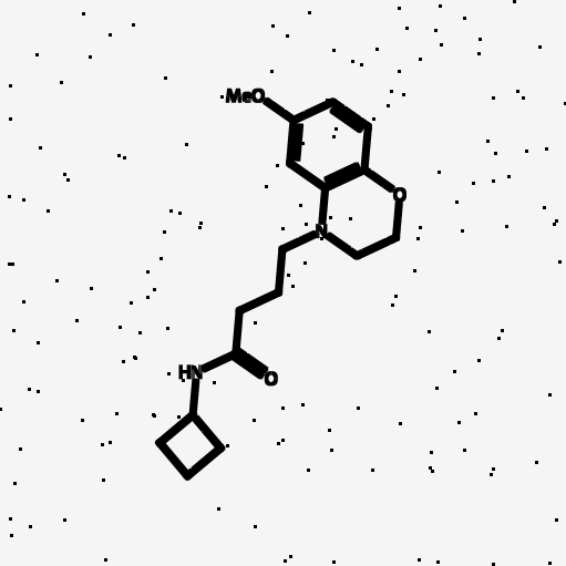 COc1ccc2c(c1)N(CCCC(=O)NC1CCC1)CCO2